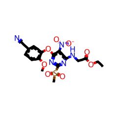 CCOC(=O)CNc1nc(S(C)(=O)=O)nc(Oc2cc(C#N)ccc2OC)c1[N+](=O)[O-]